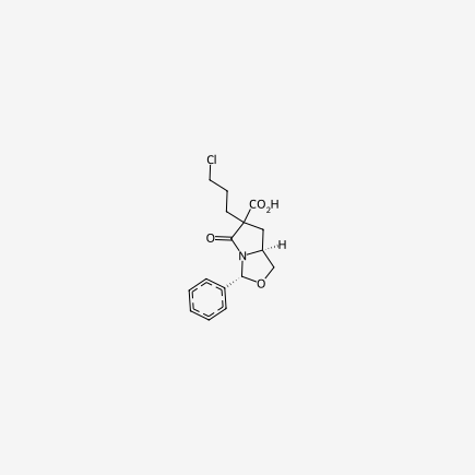 O=C(O)C1(CCCCl)C[C@H]2CO[C@H](c3ccccc3)N2C1=O